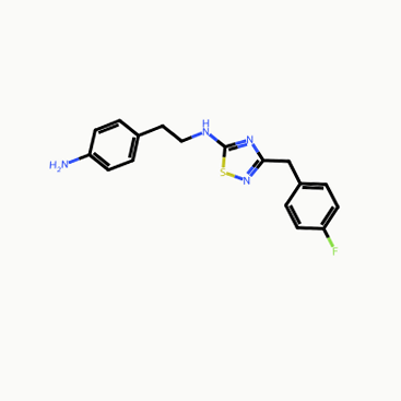 Nc1ccc(CCNc2nc(Cc3ccc(F)cc3)ns2)cc1